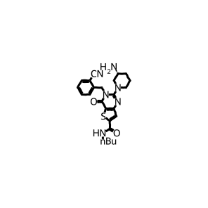 CCCCNC(=O)c1cc2nc(N3CCC[C@@H](N)C3)n(Cc3ccccc3C#N)c(=O)c2s1